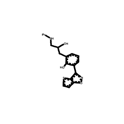 CC(C)NCC(O)Cc1cccc(-c2noc3ccsc23)c1O